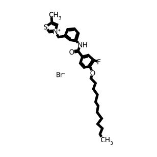 CCCCCCCCCCCCOc1ccc(C(=O)Nc2cccc(C[n+]3csc(C)c3)c2)cc1F.[Br-]